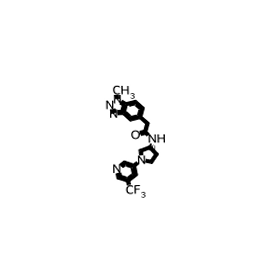 Cn1nnc2cc(CC(=O)N[C@@H]3CCN(c4cncc(C(F)(F)F)c4)C3)ccc21